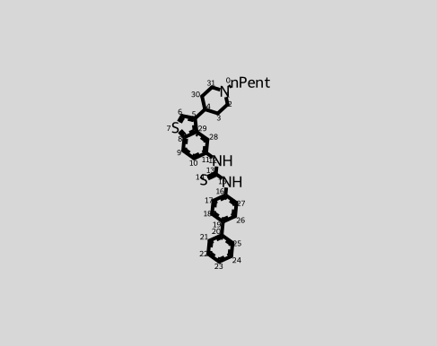 CCCCCN1CCC(c2csc3ccc(NC(=S)Nc4ccc(-c5ccccc5)cc4)cc23)CC1